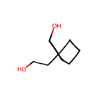 OCCC1(CO)CCC1